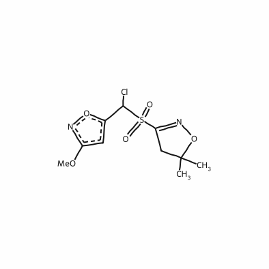 COc1cc(C(Cl)S(=O)(=O)C2=NOC(C)(C)C2)on1